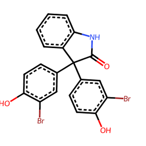 O=C1Nc2ccccc2C1(c1ccc(O)c(Br)c1)c1ccc(O)c(Br)c1